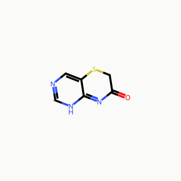 O=C1CSC2=CN=[C]NC2=N1